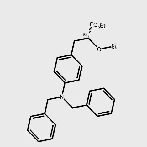 CCOC(=O)[C@@H](Cc1ccc(N(Cc2ccccc2)Cc2ccccc2)cc1)OCC